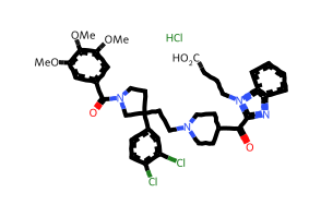 COc1cc(C(=O)N2CCC(CCN3CCC(C(=O)c4nc5ccccc5n4CCCC(=O)O)CC3)(c3ccc(Cl)c(Cl)c3)C2)cc(OC)c1OC.Cl